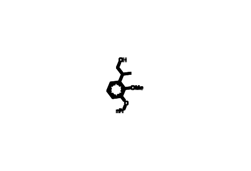 CCCOc1cccc([C](C)CO)c1OC